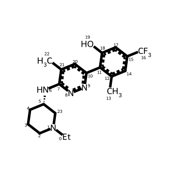 CCN1CCC[C@H](Nc2nnc(-c3c(C)cc(C(F)(F)F)cc3O)cc2C)C1